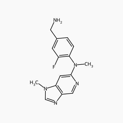 CN(c1cc2c(cn1)ncn2C)c1ccc(CN)cc1F